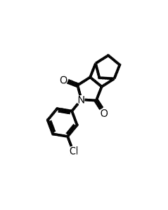 O=C1C2C3CCC(C3)C2C(=O)N1c1cccc(Cl)c1